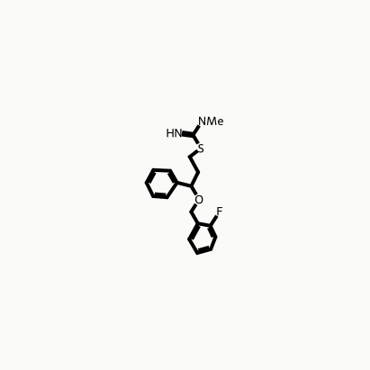 CNC(=N)SCCC(OCc1ccccc1F)c1ccccc1